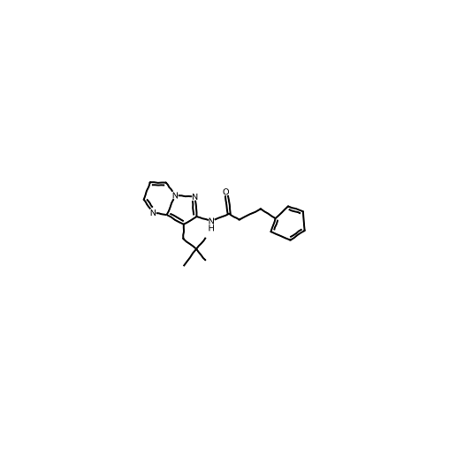 CC(C)(C)Cc1c(NC(=O)CCc2ccccc2)nn2cccnc12